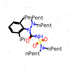 CCCCCN(CCCCC)N(C(=O)NS(=O)(=O)N(CCCCC)CCCCC)c1c(C(C)C)cccc1C(C)C